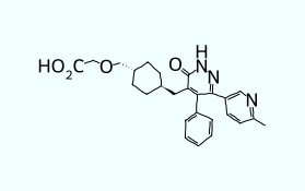 Cc1ccc(-c2n[nH]c(=O)c(C[C@H]3CC[C@H](COCC(=O)O)CC3)c2-c2ccccc2)cn1